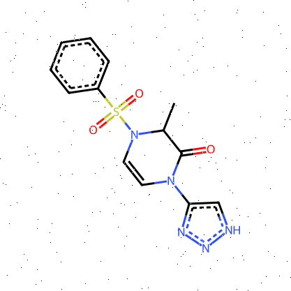 CC1C(=O)N(c2c[nH]nn2)C=CN1S(=O)(=O)c1ccccc1